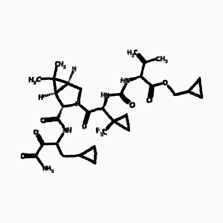 C=C(C)[C@H](NC(=O)N[C@H](C(=O)N1C[C@H]2[C@@H]([C@H]1C(=O)NC(CC1CC1)C(=O)C(N)=O)C2(C)C)C1(C(F)(F)F)CC1)C(=O)OCC1CC1